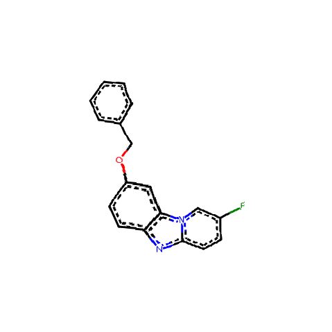 Fc1ccc2nc3ccc(OCc4ccccc4)cc3n2c1